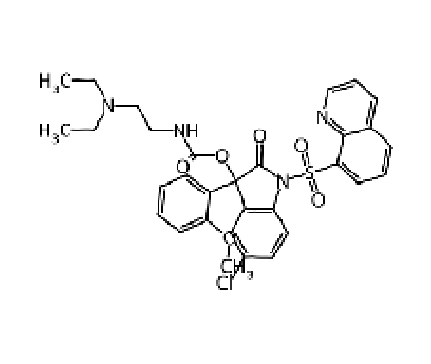 CCN(CC)CCNC(=O)OC1(c2ccccc2OC)C(=O)N(S(=O)(=O)c2cccc3cccnc23)c2ccc(Cl)cc21